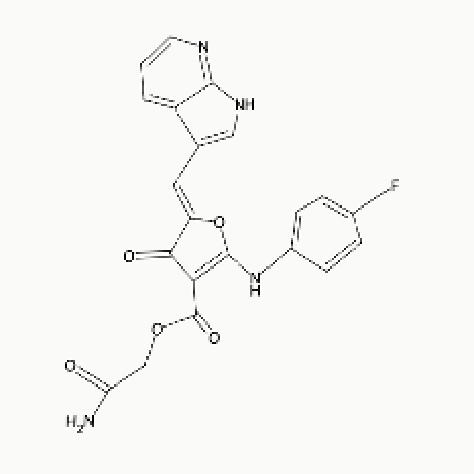 NC(=O)COC(=O)C1=C(Nc2ccc(F)cc2)OC(=Cc2c[nH]c3ncccc23)C1=O